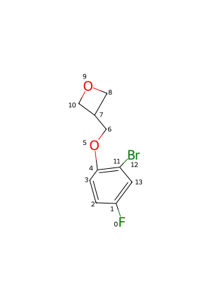 Fc1ccc(OCC2COC2)c(Br)c1